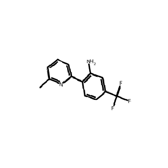 Cc1cccc(-c2ccc(C(F)(F)F)cc2N)n1